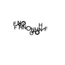 O=C(NC1CCC(Nc2cccc3nc(C(F)F)cn23)CC1)c1cccc(NCCF)c1